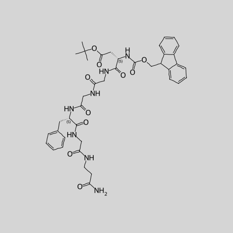 CC(C)(C)OC(=O)C[C@H](NC(=O)OCC1c2ccccc2-c2ccccc21)C(=O)NCC(=O)NCC(=O)N[C@@H](Cc1ccccc1)C(=O)NCC(=O)NCCC(N)=O